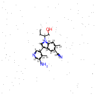 CCC(CO)n1cc(-c2cncc(N)c2C)c2cc(C#N)c(C)cc21